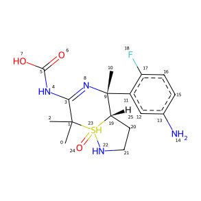 CC1(C)C(NC(=O)O)=N[C@](C)(c2cc(N)ccc2F)[C@@H]2CCN[SH]21=O